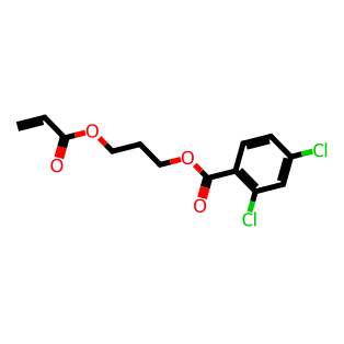 C=CC(=O)OCCCOC(=O)c1ccc(Cl)cc1Cl